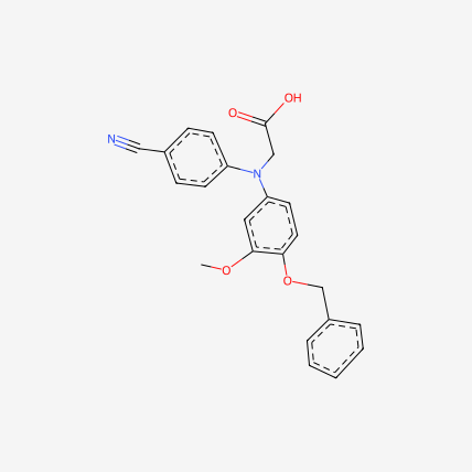 COc1cc(N(CC(=O)O)c2ccc(C#N)cc2)ccc1OCc1ccccc1